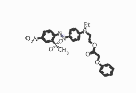 CCN(CCOC(=O)COc1ccccc1)c1ccc(/N=N/c2ccc([N+](=O)[O-])cc2S(C)(=O)=O)cc1